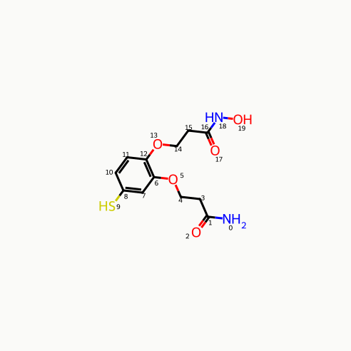 NC(=O)CCOc1cc(S)ccc1OCCC(=O)NO